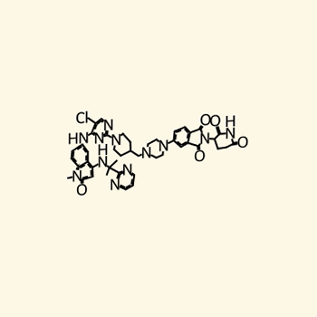 Cn1c(=O)cc(NC(C)(C)c2ncccn2)c2cc(Nc3nc(N4CCC(CN5CCN(c6ccc7c(c6)C(=O)N(C6CCC(=O)NC6=O)C7=O)CC5)CC4)ncc3Cl)ccc21